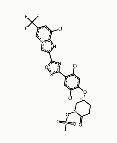 CS(=O)(=O)ON1C[C@H](Oc2cc(Cl)c(-c3noc(-c4cn5cc(C(F)(F)F)cc(Cl)c5n4)n3)cc2Cl)CCC1=O